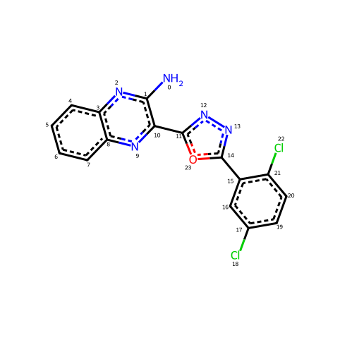 Nc1nc2ccccc2nc1-c1nnc(-c2cc(Cl)ccc2Cl)o1